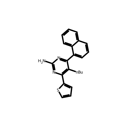 CCCCc1c(-c2cccs2)nc(N)nc1-c1cccc2ccccc12